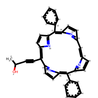 CC(O)C#CC1=C2C=CC(=N2)C(c2ccccc2)=C2C=CC(=N2)C=C2C=CC(=N2)C(c2ccccc2)=C2C=CC1=N2